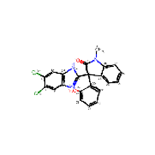 CN1C(=O)C(c2nc3cc(Cl)c(Cl)cc3[nH]2)(c2ccccc2O)c2ccccc21